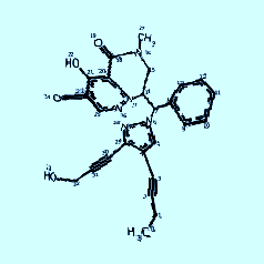 CCC#Cc1cn(C(c2ccccc2)C2CN(C)C(=O)c3c(O)c(=O)cnn32)nc1C#CCO